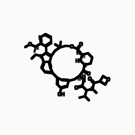 CCn1c(-c2cccnc2[C@H](C)OC)c2c3cc(ccc31)-c1cc(O)cc(c1)C[C@H](NC(=O)C(C(C)C)N(C)C(=O)C1COC1)C(=O)N1CCC[C@H](N1)C(=O)OCC(C)(C)C2